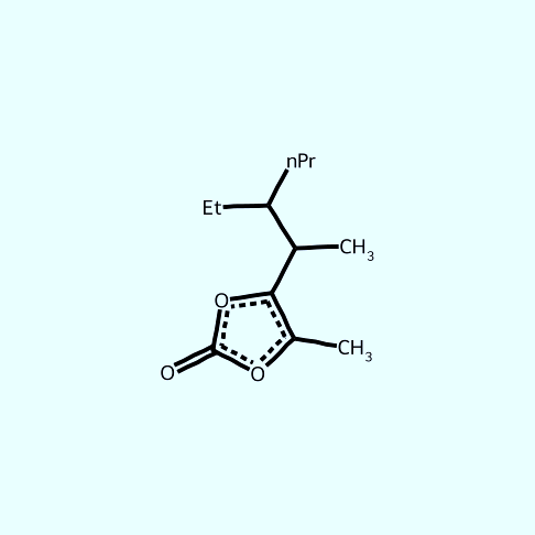 CCCC(CC)C(C)c1oc(=O)oc1C